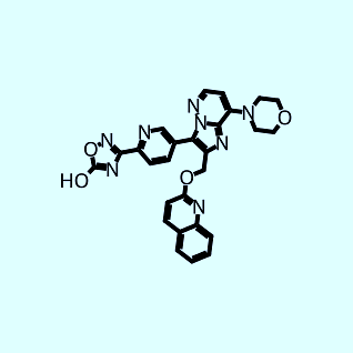 Oc1nc(-c2ccc(-c3c(COc4ccc5ccccc5n4)nc4c(N5CCOCC5)ccnn34)cn2)no1